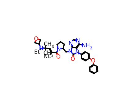 CCN(C1COC1)C(C)(C)C=C(C#N)C(=O)N1CCCC1Cn1c(=O)n(-c2ccc(Oc3ccccc3)cc2)c2c(N)ncnc21